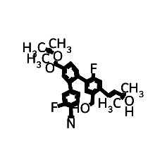 CC(C)(O)C=Cc1cc(F)c(-c2ccc(C(=O)OC(C)(C)C)cc2-c2ccc(C#N)c(F)c2)cc1CO